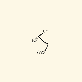 [N-]CCO.[Na+]